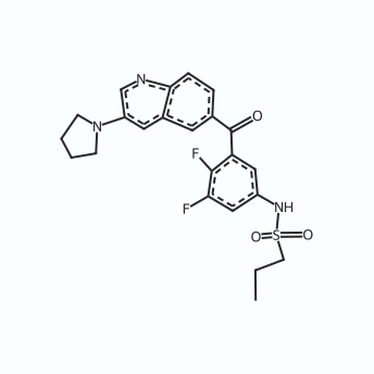 CCCS(=O)(=O)Nc1cc(F)c(F)c(C(=O)c2ccc3ncc(N4CCCC4)cc3c2)c1